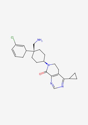 NC[C@]1(C2C=C(Cl)C=CC2)CC[C@H](N2CCc3c(ncnc3C3CC3)C2=O)CC1